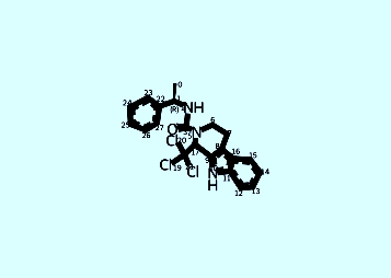 C[C@@H](NC(=O)N1CCc2c([nH]c3ccccc23)C1C(Cl)(Cl)Cl)c1ccccc1